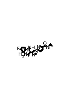 C/C(N)=C(\c1cn(-c2ccc(C(=O)NC3CC3)cn2)cn1)N(N)c1ccc(F)cc1